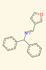 C(=N\C(c1ccccc1)c1ccccc1)/c1ccoc1